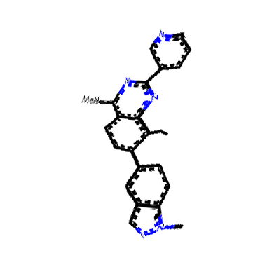 CNc1nc(-c2cccnc2)nc2c(C)c(-c3ccc4c(cnn4C)c3)ccc12